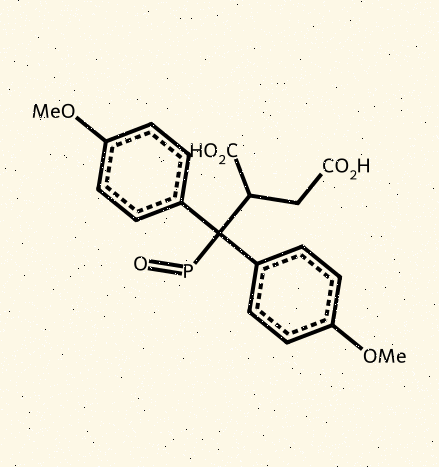 COc1ccc(C(P=O)(c2ccc(OC)cc2)C(CC(=O)O)C(=O)O)cc1